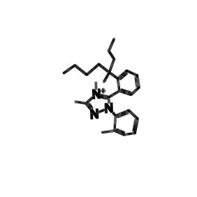 CCCCC(C)(CCC)c1ccccc1-c1n(-c2ccccc2C)nc(C)[n+]1C